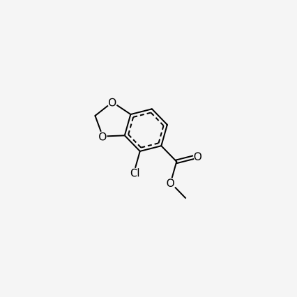 COC(=O)c1ccc2c(c1Cl)OCO2